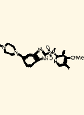 COc1c(C)cnc(N(C)S(=O)(=O)c2nc3cc(N4CCN(C)CC4)ccc3[nH]2)c1C